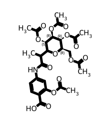 CC(=O)OC[C@H]1OC(C(C)C(=O)Nc2ccc(C(=O)O)c(OC(C)=O)c2)[C@H](OC(C)=O)[C@@H](OC(C)=O)[C@@H]1OC(C)=O